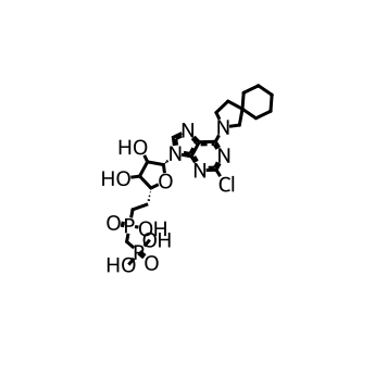 O=P(O)(O)CP(=O)(O)CC[C@H]1O[C@@H](n2cnc3c(N4CCC5(CCCCC5)C4)nc(Cl)nc32)C(O)C1O